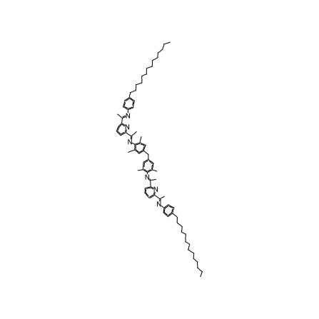 CCCCCCCCCCCCCCc1ccc(/N=C(\C)c2cccc(/C(C)=N/c3c(C)cc(Cc4cc(C)c(/N=C(\C)c5cccc(/C(C)=N/c6ccc(CCCCCCCCCCCCCC)cc6)n5)c(C)c4)cc3C)n2)cc1